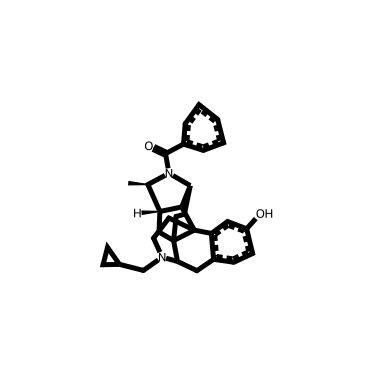 C[C@@H]1[C@H]2CC34CCC(C2C32CCN(CC3CC3)C4Cc3ccc(O)cc32)N1C(=O)c1ccccc1